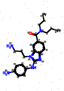 CC(C)CCN(CCC(C)C)C(=O)c1ccc2nc(Nc3ccc(N)cc3)n(CCCN)c2c1